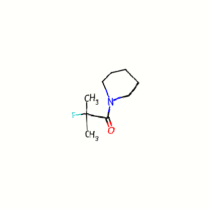 CC(C)(F)C(=O)N1CCCCC1